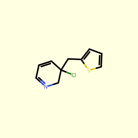 ClC1(Cc2cccs2)C=CC=NC1